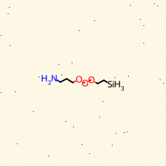 NCCCOOOCC[SiH3]